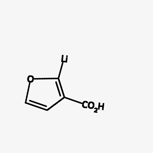 [Li][c]1occc1C(=O)O